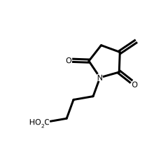 C=C1CC(=O)N(CCCC(=O)O)C1=O